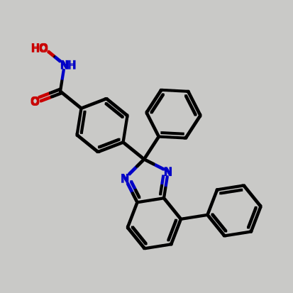 O=C(NO)c1ccc(C2(c3ccccc3)N=c3cccc(-c4ccccc4)c3=N2)cc1